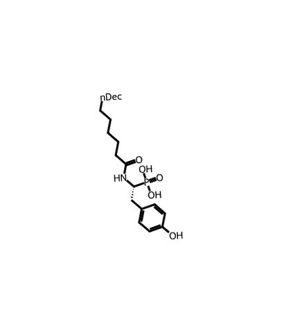 CCCCCCCCCCCCCCCC(=O)N[C@@H](Cc1ccc(O)cc1)P(=O)(O)O